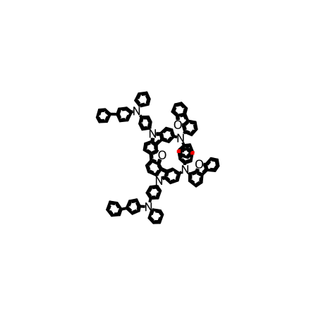 c1ccc(-c2ccc(N(c3ccccc3)c3ccc(-n4c5ccc(N(c6ccccc6)c6cccc7c6oc6ccccc67)cc5c5c6oc7c(ccc8c7c7cc(N(c9ccccc9)c9cccc%10c9oc9ccccc9%10)ccc7n8-c7ccc(N(c8ccccc8)c8ccc(-c9ccccc9)cc8)cc7)c6ccc54)cc3)cc2)cc1